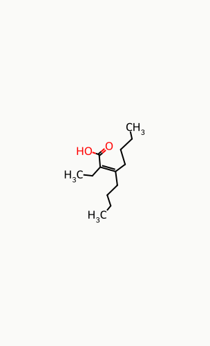 CCCCC(CCCC)=C(CC)C(=O)O